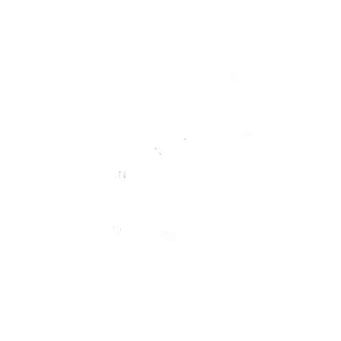 CCOC(=O)c1nc(C)n2c1CSc1c-2ccc(F)c1Cl